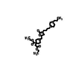 CCCN1CCN(CCCCN2CC(CN3CCC(CC(=O)OCC)(C(=O)OCC)CC3)OC2=O)CC1